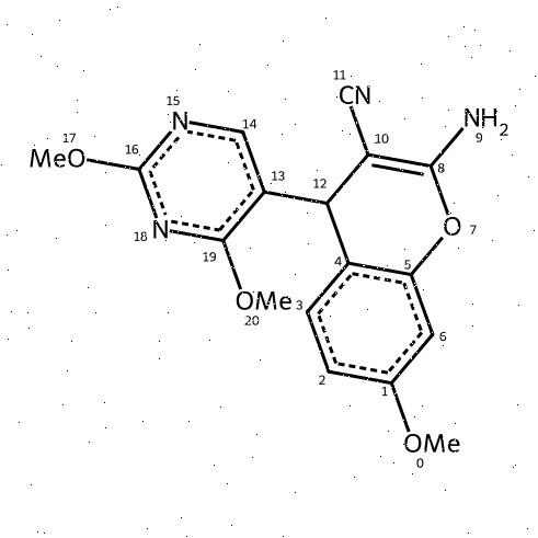 COc1ccc2c(c1)OC(N)=C(C#N)C2c1cnc(OC)nc1OC